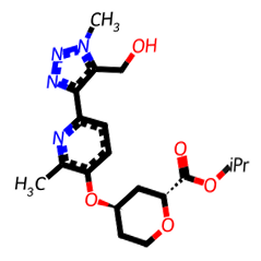 Cc1nc(-c2nnn(C)c2CO)ccc1O[C@@H]1CCO[C@@H](C(=O)OC(C)C)C1